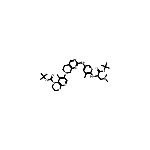 Cc1cc(Nc2ncc3c(n2)CN(c2cnc4c(c2C)N(C(=O)OC(C)(C)C)CCO4)CC3)cnc1NC(CN(C)C)C(=O)OC(C)(C)C